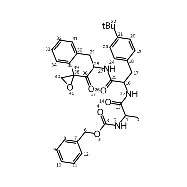 CC(NC(=O)OCc1ccccc1)C(=O)NC(Cc1ccc(C(C)(C)C)cc1)C(=O)NC(Cc1ccccc1)C(=O)C1(C)CO1